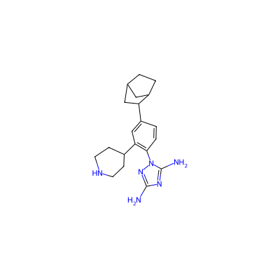 Nc1nc(N)n(-c2ccc(C3CC4CCC3C4)cc2C2CCNCC2)n1